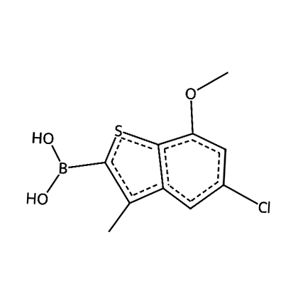 COc1cc(Cl)cc2c(C)c(B(O)O)sc12